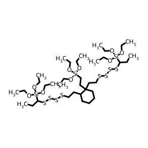 CCO[Si](CCC1(CCSSSSC(CC)[Si](OCC)(OCC)OCC)CCCCC1CCSSSSC(CC)[Si](OCC)(OCC)OCC)(OCC)OCC